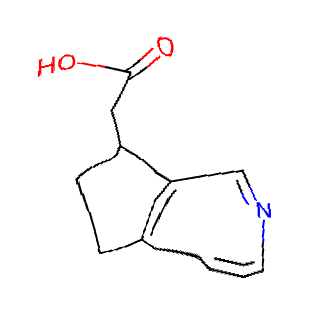 O=C(O)C1CCc2ccncc21